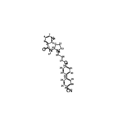 CN(C(=O)c1cccnc1)C1CCCN1CCCOc1ccc(-c2ccc(C#N)cc2)cc1